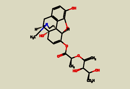 C=C(O[C@@H](C)C(=O)OC1=CC[C@@]2(O)[C@H]3Cc4ccc(O)c5c4[C@@]2(CCN3C)[C@H]1O5)[C@H](O)[C@@H](O)C(=O)O